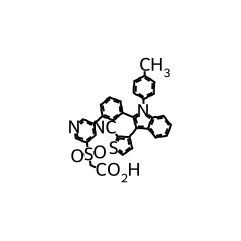 Cc1ccc(-n2c(-c3cccc(-c4cncc(S(=O)(=O)CC(=O)O)c4)c3)c(-c3ccsc3C#N)c3ccccc32)cc1